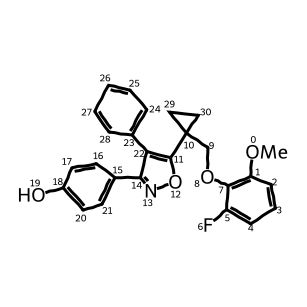 COc1cccc(F)c1OCC1(c2onc(-c3ccc(O)cc3)c2-c2ccccc2)CC1